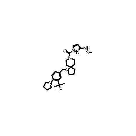 CSNc1ccn(C(=O)N2CCC3(CCCN3Cc3ccc(N4CCCC4)c(C(F)(F)F)c3)CC2)n1